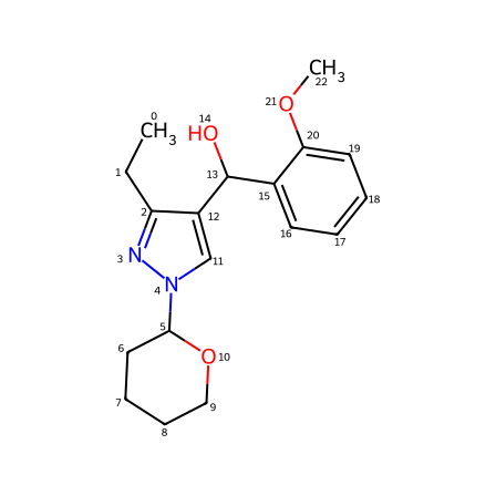 CCc1nn(C2CCCCO2)cc1C(O)c1ccccc1OC